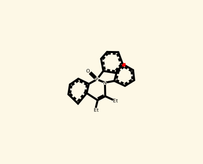 CCC1=C(CC)N(c2ccccc2)P(=O)(c2ccccc2)c2ccccc21